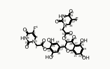 O=C(Cn1cc(F)c(=O)[nH]c1=O)Oc1c(O)cc(C2Oc3cc(O)cc(O)c3C(=O)C2OC(=O)Cn2cc(F)c(=O)[nH]c2=O)cc1O